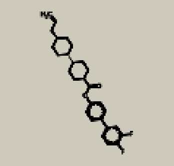 C=CC[C@H]1CC[C@H](C2CCC(C(=O)Oc3ccc(-c4ccc(F)c(F)c4)cc3)CC2)CC1